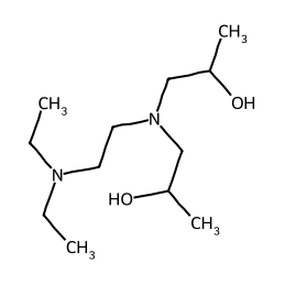 CCN(CC)CCN(CC(C)O)CC(C)O